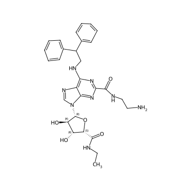 CCNC(=O)[C@H]1O[C@@H](n2cnc3c(NCC(c4ccccc4)c4ccccc4)nc(C(=O)NCCN)nc32)[C@H](O)[C@H]1O